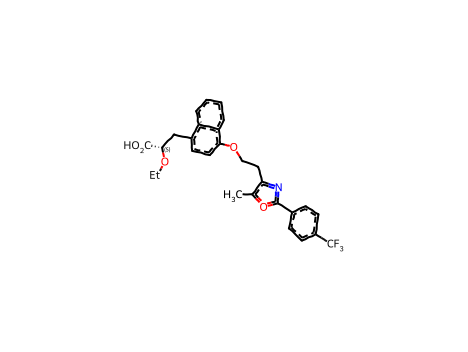 CCO[C@@H](Cc1ccc(OCCc2nc(-c3ccc(C(F)(F)F)cc3)oc2C)c2ccccc12)C(=O)O